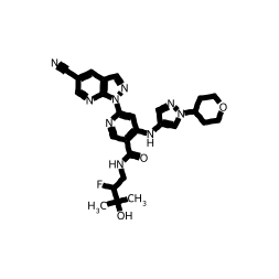 CC(C)(O)C(F)CNC(=O)c1cnc(-n2ncc3cc(C#N)cnc32)cc1Nc1cnn(C2CCOCC2)c1